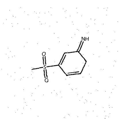 CS(=O)(=O)C1=CC(=N)CC=C1